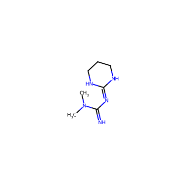 CN(C)C(=N)N=C1NCCCN1